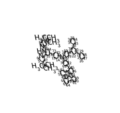 CC(C)(C)c1ccnc(C2=CC(c3ccc(-n4c5ccc(-c6cc(-c7ccccc7)cc(-c7ccccc7)c6)cc5c5cc(-c6cccc7c6-c6ccccc6C76c7ccccc7-c7ccccc76)ccc54)cc3)=CC(c3cc(C(C)(C)C)ccn3)N2)c1